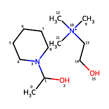 CC(O)N1CCCCC1.C[N+](C)(C)CCO